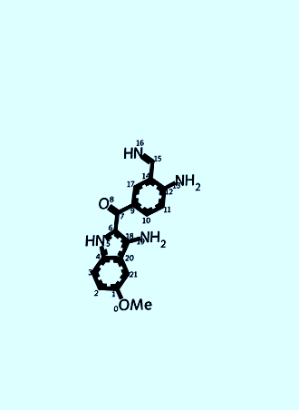 COc1ccc2[nH]c(C(=O)c3ccc(N)c(C=N)c3)c(N)c2c1